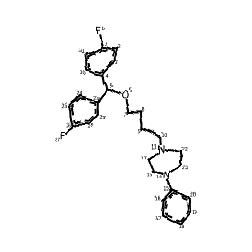 Fc1ccc(C(OCCCCN2CCN(c3ccccc3)CC2)c2ccc(F)cc2)cc1